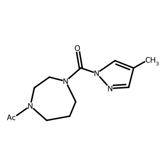 CC(=O)N1CCCN(C(=O)n2cc(C)cn2)CC1